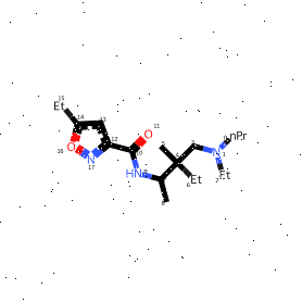 CCCN(CC)CC(C)(CC)C(C)NC(=O)c1cc(CC)on1